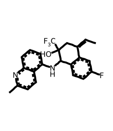 C/C=C1/CC(O)(C(F)(F)F)C(Nc2cccc3nc(C)ccc23)c2ccc(F)cc21